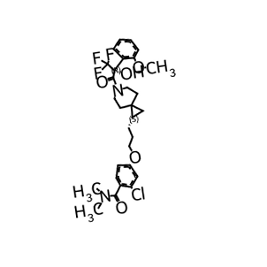 COc1ccccc1[C@@](O)(C(=O)N1CCC2(CC1)C[C@@H]2CCCOc1ccc(C(=O)N(C)C)c(Cl)c1)C(F)(F)F